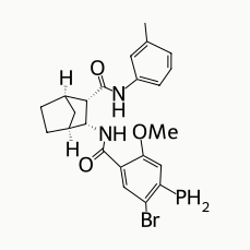 COc1cc(P)c(Br)cc1C(=O)N[C@@H]1[C@H]2CC[C@H](C2)[C@@H]1C(=O)Nc1cccc(C)c1